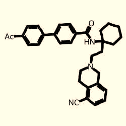 CC(=O)c1ccc(-c2ccc(C(=O)NC3(CCN4CCc5c(C#N)cccc5C4)CCCCC3)cc2)cc1